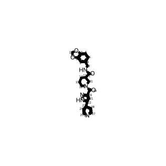 O=C(NCc1ccc2c(c1)OCO2)C1CCCN(C(=O)c2cc(-c3ccncc3)[nH]n2)C1